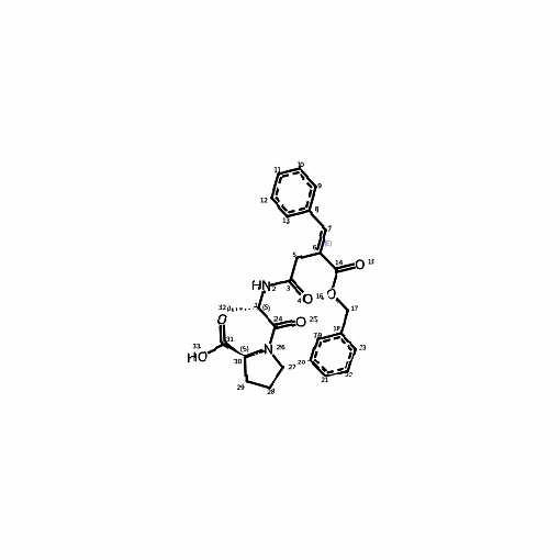 C[C@H](NC(=O)C/C(=C\c1ccccc1)C(=O)OCc1ccccc1)C(=O)N1CCC[C@H]1C(=O)O